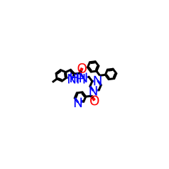 Cc1ccc2cc(C(=O)NCC3CN(C(=O)c4cccnc4)CCN3C(c3ccccc3)c3ccccc3)[nH]c2c1